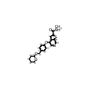 CNC(=O)c1cc2c(Oc3ccc(COC4CCCCO4)cc3)cncc2s1